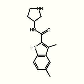 Cc1ccc2[nH]c(C(=O)NC3CCNC3)c(C)c2c1